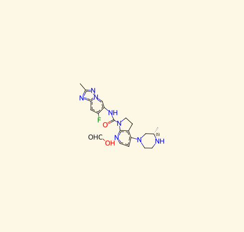 Cc1nc2cc(F)c(NC(=O)N3CCc4c(N5CCN[C@@H](C)C5)ccnc43)cn2n1.O=CO